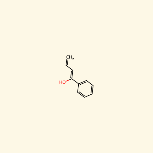 C=CC=C(O)c1ccccc1